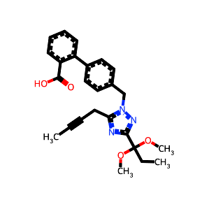 CC#CCc1nc(C(CC)(OC)OC)nn1Cc1ccc(-c2ccccc2C(=O)O)cc1